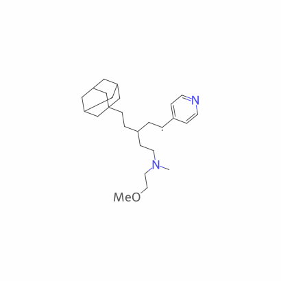 COCCN(C)CCC(C[CH]c1ccncc1)CCC12CC3CC(CC(C3)C1)C2